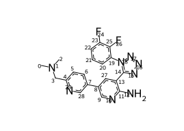 CN(C)Cc1ccc(-c2cnc(N)c(-c3nnnn3-c3cccc(F)c3F)c2)cn1